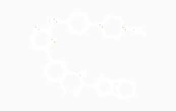 CN1CCN(c2ccc(Nc3nccc(-c4ccc(F)c(NC(=O)c5cc6c(s5)C5CCC6C5)c4)n3)cc2)CC1